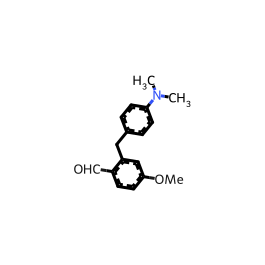 COc1ccc(C=O)c(Cc2ccc(N(C)C)cc2)c1